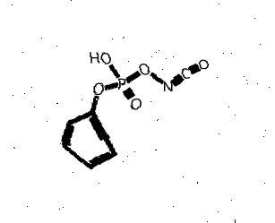 O=C=NOP(=O)(O)Oc1ccccc1